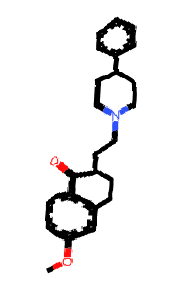 COc1ccc2c(c1)CCC(CCN1CCC(c3ccccc3)CC1)C2=O